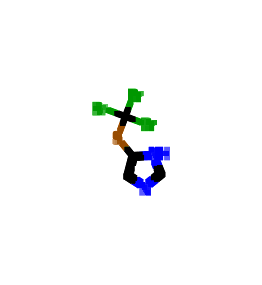 BrC(Br)(Br)Sc1cnc[nH]1